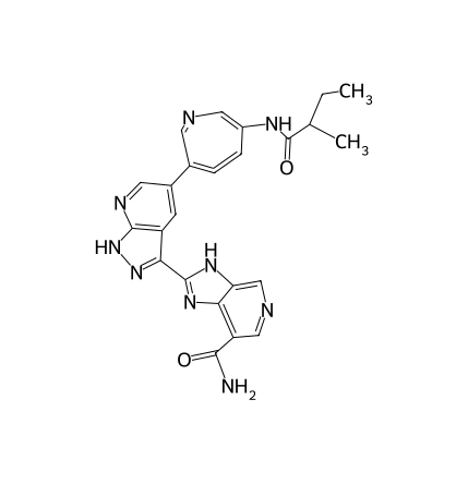 CCC(C)C(=O)NC1=CN=CC(c2cnc3[nH]nc(-c4nc5c(C(N)=O)cncc5[nH]4)c3c2)=C=C1